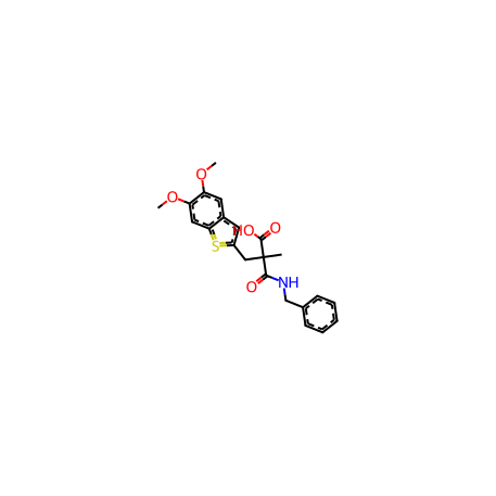 COc1cc2cc(CC(C)(C(=O)O)C(=O)NCc3ccccc3)sc2cc1OC